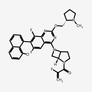 C=C(F)C(=O)N1CCC2[C@H]1CN2c1nc(OC[C@@H]2CCCN2C)nc2c(F)c(-c3cccc4cccc(Cl)c34)c(F)cc12